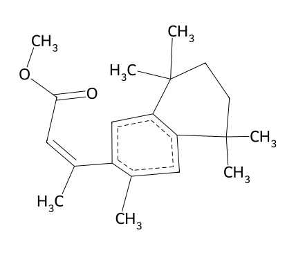 COC(=O)/C=C(/C)c1cc2c(cc1C)C(C)(C)CCC2(C)C